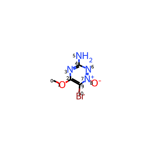 COc1nc(N)n[n+]([O-])c1Br